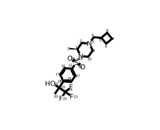 C[C@H]1CN(CC2CCC2)CCN1S(=O)(=O)c1ccc(C(C)(O)C(F)(F)F)cc1